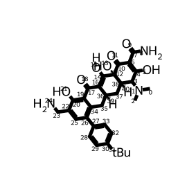 CN(C)C1C(O)=C(C(N)=O)C(=O)[C@]2(O)C(O)=C3C(=O)c4c(O)c(CN)cc(-c5ccc(C(C)(C)C)cc5)c4C[C@H]3C[C@@H]12